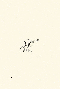 Cc1ccccc1C(=O)O[C@@]12CCCN1[C@H](CF)CC2